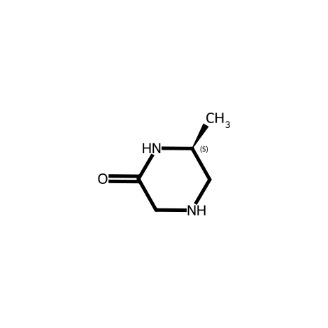 C[C@H]1CNCC(=O)N1